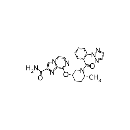 C[C@@H]1CC[C@@H](Oc2nccn3cc(C(N)=O)nc23)CN1C(=O)c1ccccc1-n1nccn1